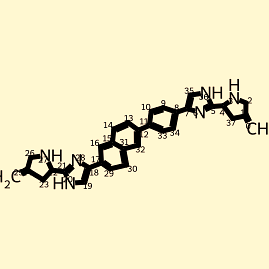 C=C1CNC(c2nc(-c3ccc(-c4ccc5cc(-c6c[nH]c(C7CC(=C)CN7)n6)ccc5c4)cc3)c[nH]2)C1